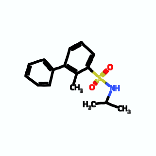 Cc1c(-c2ccccc2)cccc1S(=O)(=O)NC(C)C